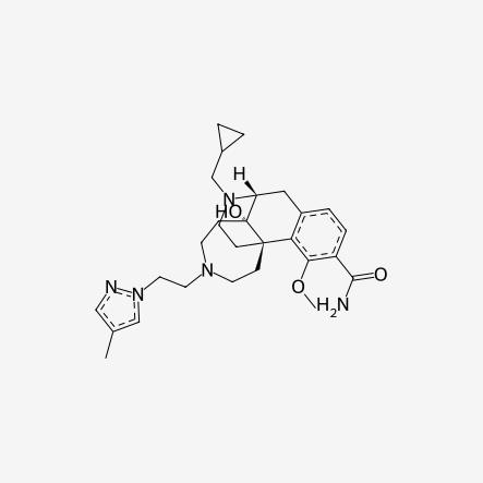 COc1c(C(N)=O)ccc2c1[C@@]13CCN(CCn4cc(C)cn4)CC[C@@]1(O)[C@@H](C2)N(CC1CC1)CC3